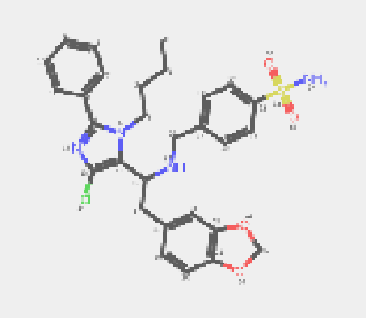 CCCCn1c(-c2ccccc2)nc(Cl)c1C(Cc1ccc2c(c1)OCO2)NCc1ccc(S(N)(=O)=O)cc1